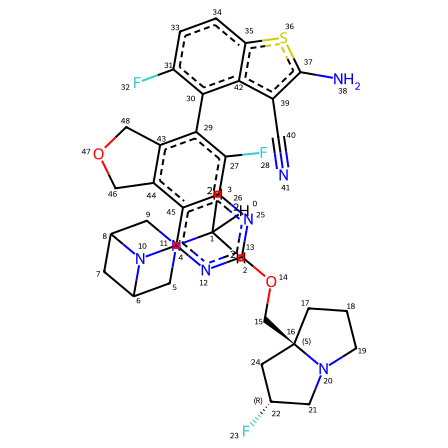 [2H]C([2H])([2H])N1CC2CC(C1)N2c1nc(OC[C@@]23CCCN2C[C@H](F)C3)nc2c(F)c(-c3c(F)ccc4sc(N)c(C#N)c34)c3c(c12)COC3